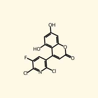 O=c1cc(-c2cc(F)c(Cl)nc2Cl)c2c(O)cc(O)cc2o1